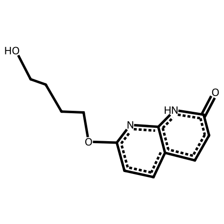 O=c1ccc2ccc(OCCCCO)nc2[nH]1